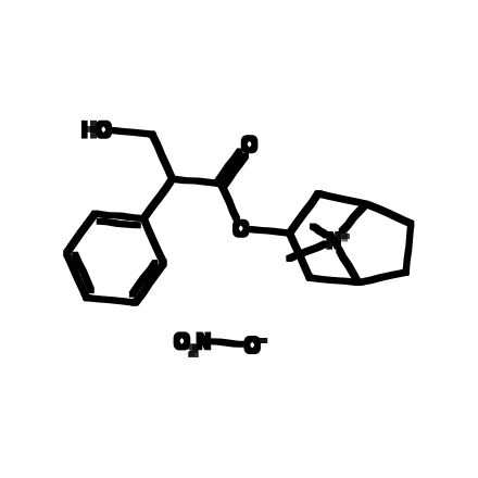 C[N+]1(C)C2CCC1CC(OC(=O)C(CO)c1ccccc1)C2.O=[N+]([O-])[O-]